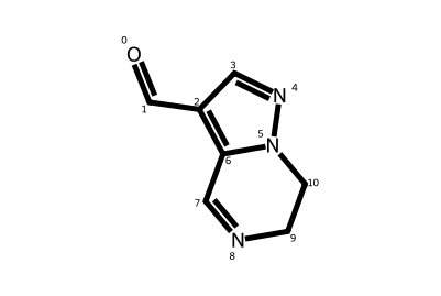 O=Cc1cnn2c1C=NCC2